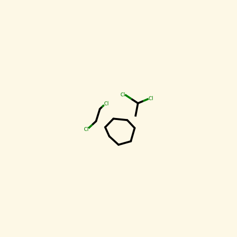 C1CCCCCC1.CC(Cl)Cl.ClCCCl